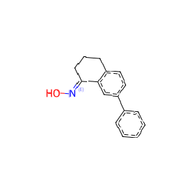 O/N=C1\CCCc2ccc(-c3ccccc3)cc21